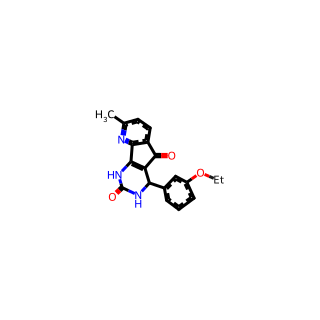 CCOc1cccc(C2NC(=O)NC3=C2C(=O)c2ccc(C)nc23)c1